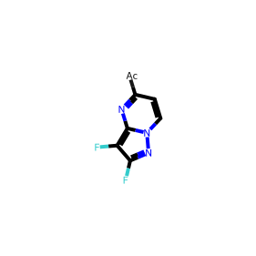 CC(=O)c1ccn2nc(F)c(F)c2n1